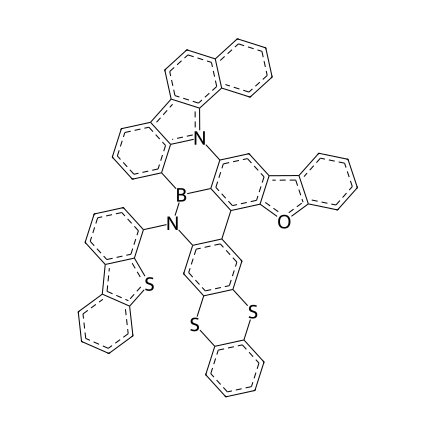 c1ccc2c(c1)Sc1cc3c(cc1S2)N(c1cccc2c1sc1ccccc12)B1c2c(cc4c(oc5ccccc54)c2-3)-n2c3c1cccc3c1ccc3ccccc3c12